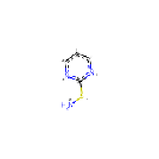 NSc1ncccn1